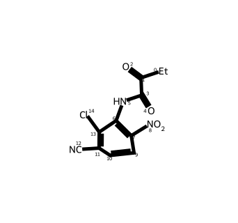 CCC(=O)C(=O)Nc1c([N+](=O)[O-])ccc(C#N)c1Cl